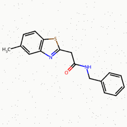 Cc1ccc2sc(CC(=O)NCc3ccccc3)nc2c1